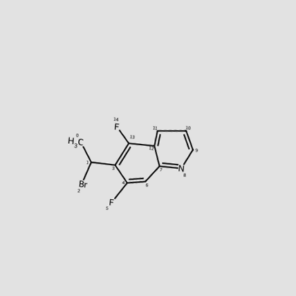 CC(Br)c1c(F)cc2ncccc2c1F